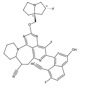 C#Cc1c(F)ccc2cc(O)cc(-c3nc4c5c(nc(OC[C@@]67CCCN6C[C@H](F)C7)nc5c3F)N3CCCCC3C(C#N)C4)c12